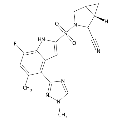 Cc1cc(F)c2[nH]c(S(=O)(=O)N3CC4C[C@@H]4C3C#N)cc2c1-c1ncn(C)n1